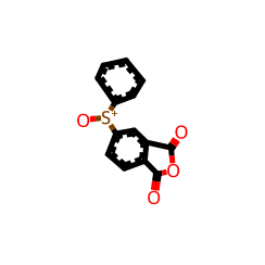 O=C1OC(=O)c2cc([S+]([O-])c3ccccc3)ccc21